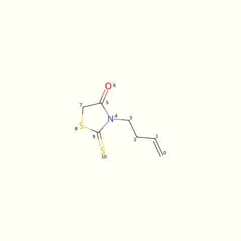 C=CCCN1C(=O)CSC1=S